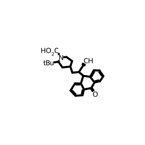 C#CC(CC1CCN(C(=O)O)C(C(C)(C)C)C1)C1c2ccccc2C(=O)c2ccccc21